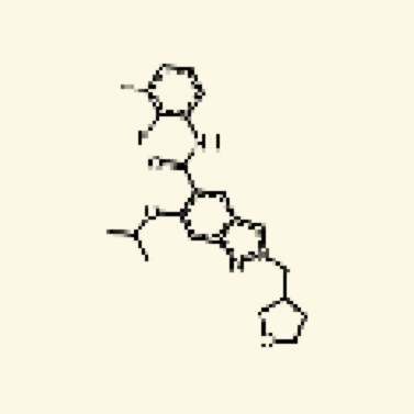 Cc1cccc(NC(=O)c2cc3cn(CC4CCOC4)nc3cc2OC(C)C)c1F